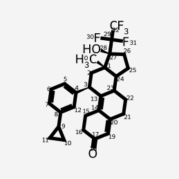 C[C@]12C[C@H](c3cccc(C4CC4)c3)C3=C4CCC(=O)C=C4CCC3C1CC[C@@]2(O)C(F)(F)C(F)(F)F